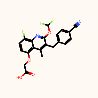 Cc1c(Cc2ccc(C#N)cc2)c(OC(F)F)nc2c(F)ccc(OCC(=O)O)c12